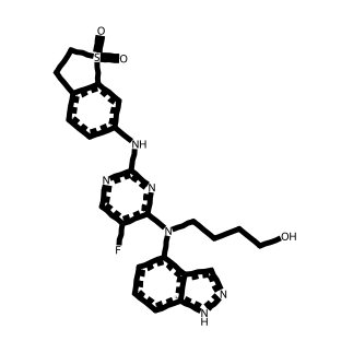 O=S1(=O)CCc2ccc(Nc3ncc(F)c(N(CCCCO)c4cccc5[nH]ncc45)n3)cc21